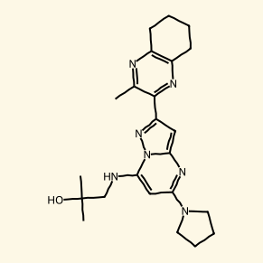 Cc1nc2c(nc1-c1cc3nc(N4CCCC4)cc(NCC(C)(C)O)n3n1)CCCC2